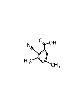 Cc1cc(C)c(C#N)c(C(=O)O)c1